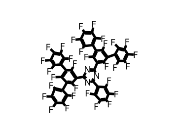 Fc1c(F)c(F)c(-c2nc(-c3c(F)c(-c4c(F)c(F)c(F)c(F)c4F)c(F)c(-c4c(F)c(F)c(F)c(F)c4F)c3F)nc(-c3c(F)c(-c4c(F)c(F)c(F)c(F)c4F)c(F)c(-c4c(F)c(F)c(F)c(F)c4F)c3F)n2)c(F)c1F